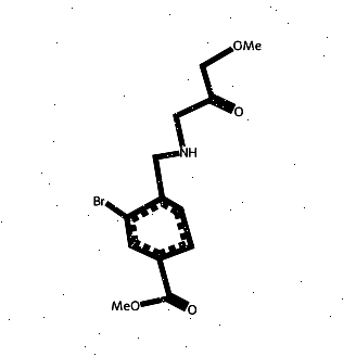 COCC(=O)CNCc1ccc(C(=O)OC)cc1Br